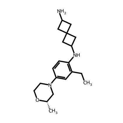 CCc1cc(N2CCO[C@@H](C)C2)ccc1NC1CC2(CC(N)C2)C1